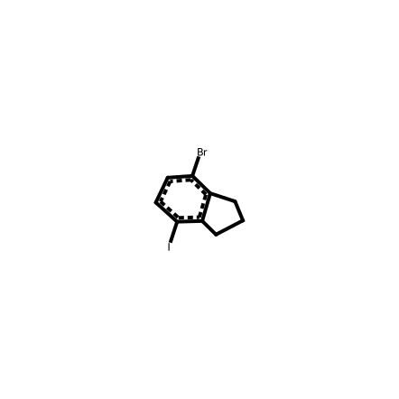 Brc1ccc(I)c2c1CCC2